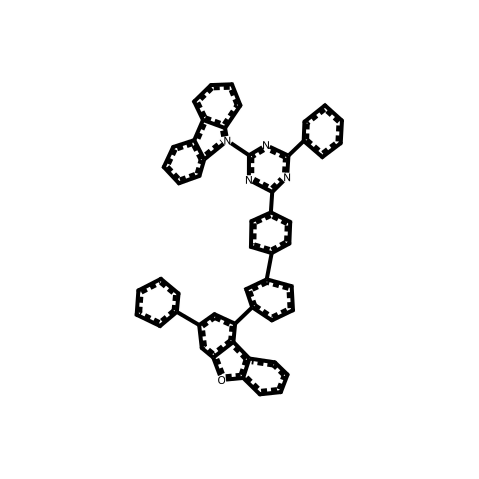 c1ccc(-c2cc(-c3cccc(-c4ccc(-c5nc(-c6ccccc6)nc(-n6c7ccccc7c7ccccc76)n5)cc4)c3)c3c(c2)oc2ccccc23)cc1